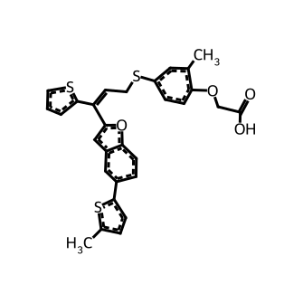 Cc1ccc(-c2ccc3oc(/C(=C\CSc4ccc(OCC(=O)O)c(C)c4)c4cccs4)cc3c2)s1